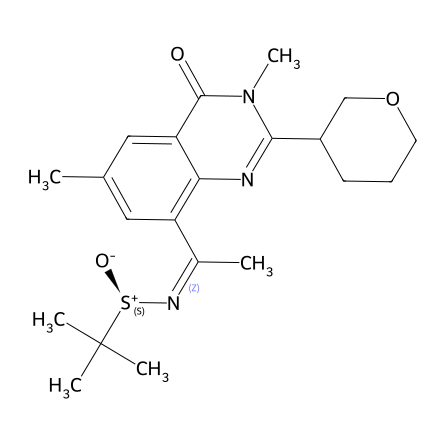 C/C(=N/[S@+]([O-])C(C)(C)C)c1cc(C)cc2c(=O)n(C)c(C3CCCOC3)nc12